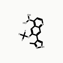 Cc1n[nH]cc1-c1cc2nccc(B(O)O)c2cc1OC(F)(F)F